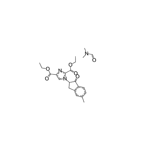 CCOC(=O)c1cn(C2Cc3cc(C)ccc3C2=O)c(C(=O)OCC)n1.CN(C)C=O